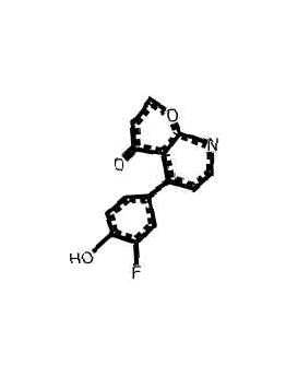 O=c1ccoc2nccc(-c3ccc(O)c(F)c3)c12